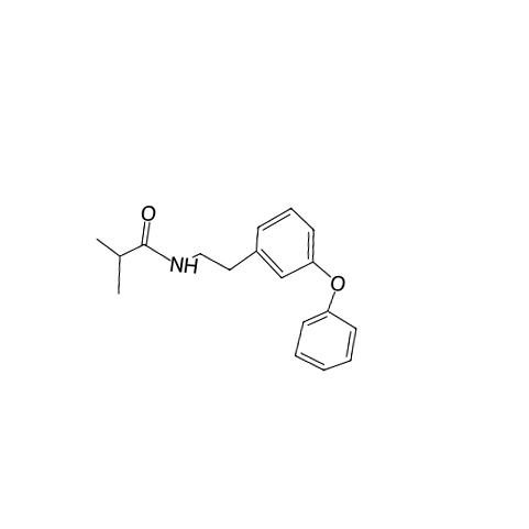 CC(C)C(=O)NCCc1cccc(Oc2ccccc2)c1